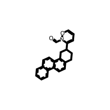 O=CN1OC=CC=C1C1CCc2ccc3c(ccc4ccccc43)c2C1